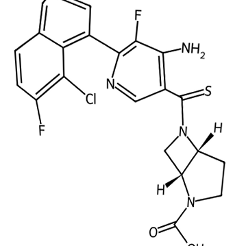 Nc1c(C(=S)N2C[C@@H]3[C@H]2CCN3C(=O)O)cnc(-c2cccc3ccc(F)c(Cl)c23)c1F